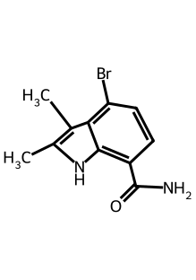 Cc1[nH]c2c(C(N)=O)ccc(Br)c2c1C